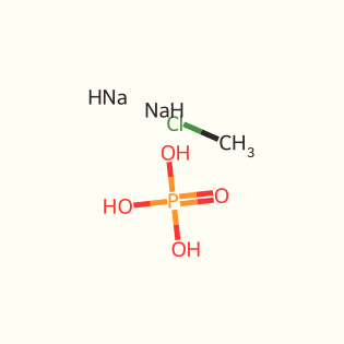 CCl.O=P(O)(O)O.[NaH].[NaH]